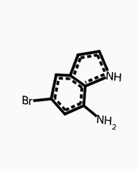 Nc1cc(Br)cc2cc[nH]c12